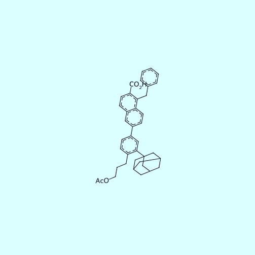 CC(=O)OCCCc1ccc(-c2ccc3c(Cc4ccccc4)c(C(=O)O)ccc3c2)cc1C12CC3CC(CC(C3)C1)C2